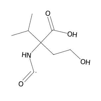 CC(C)C(CCO)(N[C]=O)C(=O)O